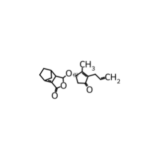 C=CCC1=C(C)[C@@H](OC2OC(=O)C3=C4CCC(C4)C32)CC1=O